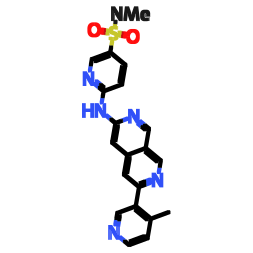 CNS(=O)(=O)c1ccc(Nc2cc3cc(-c4cnccc4C)ncc3cn2)nc1